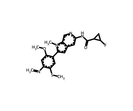 C=Nc1cc(OC)c(-c2cc3cc(NC(=O)C4CC4F)ncc3n2C)cc1SC